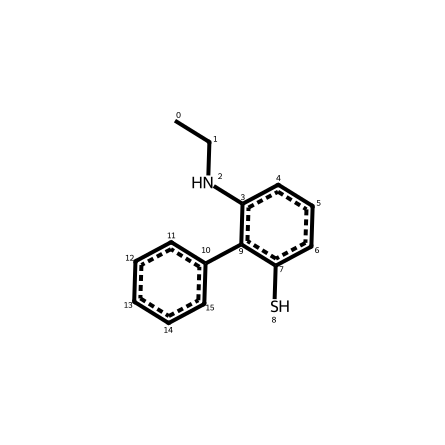 CCNc1cccc(S)c1-c1ccccc1